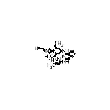 CCC1CC(Nc2nc(Nc3cc(C)[nH]n3)cc3ncccc23)CC(CC)N1C1CN(CCC#N)C1